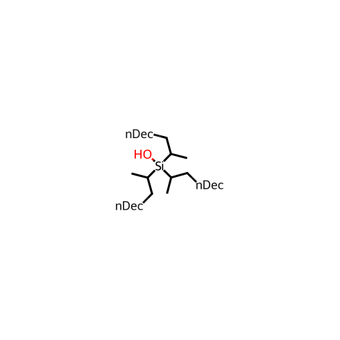 CCCCCCCCCCCC(C)[Si](O)(C(C)CCCCCCCCCCC)C(C)CCCCCCCCCCC